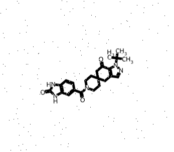 CC(C)(C)n1ncc2c1C(=O)CC1(CCN(C(=O)c3ccc4[nH]c(=O)[nH]c4c3)CC1)C2